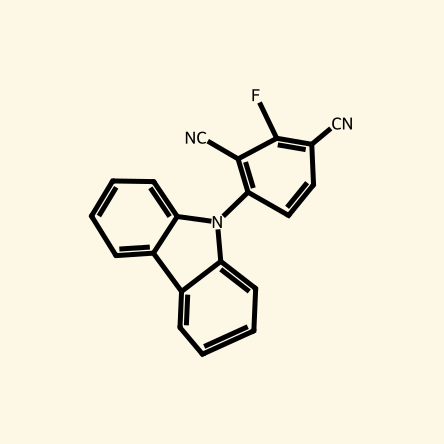 N#Cc1ccc(-n2c3ccccc3c3ccccc32)c(C#N)c1F